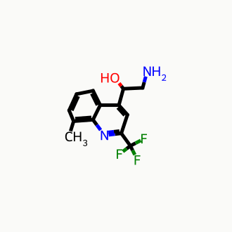 Cc1cccc2c(C(O)CN)cc(C(F)(F)F)nc12